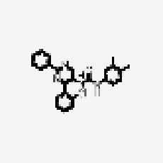 Cc1ccc(NC(=O)Nc2cnc(-c3ccccc3)nc2-c2ccccc2Cl)cc1C